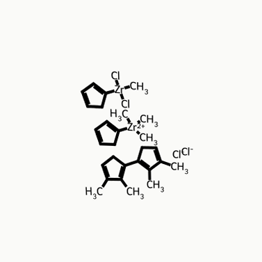 CC1=CCC(C2=C(C)C(C)=CC2)=C1C.[CH3][Zr+2]([CH3])([CH3])[C]1=CC=CC1.[CH3][Zr]([Cl])([Cl])[C]1=CC=CC1.[Cl-].[Cl-]